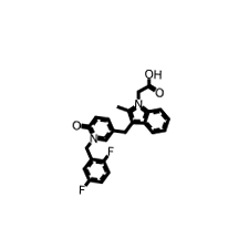 Cc1c(Cc2ccc(=O)n(Cc3cc(F)ccc3F)c2)c2ccccc2n1CC(=O)O